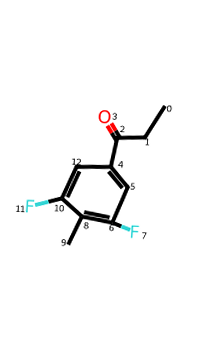 CCC(=O)c1cc(F)c(C)c(F)c1